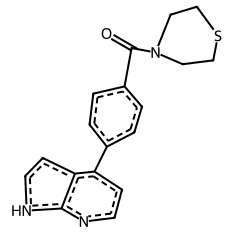 O=C(c1ccc(-c2ccnc3[nH]ccc23)cc1)N1CCSCC1